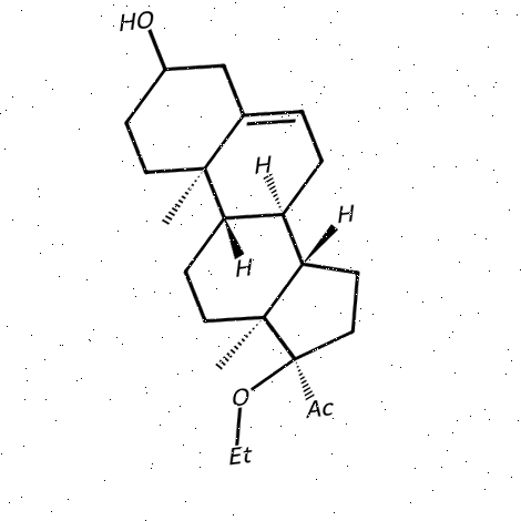 CCO[C@]1(C(C)=O)CC[C@H]2[C@@H]3CC=C4CC(O)CC[C@]4(C)[C@H]3CC[C@@]21C